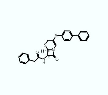 O=C(Cc1ccccc1)N[C@@H]1C(=O)N2C=C(Sc3ccc(-c4ccccc4)cc3)CS[C@H]12